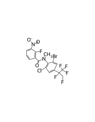 CN(C(=O)c1cccc([N+](=O)[O-])c1F)c1c(Cl)cc(C(F)(CF)C(F)(F)F)cc1Br